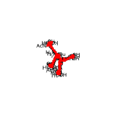 CC(=O)N[C@H]1[C@H](OCCCCCN(N)/C=C(\N)CN(C/C(=C/NCCCCCO[C@@H]2O[C@H](CO)[C@H](O)[C@H](O)[C@H]2C)N=N)C(CCCCN(Cc2cn(CCCCCO[C@@H]3O[C@H](CO)[C@H](O)[C@H](O)[C@H]3NC(C)=O)nn2)Cc2cn(CCCCCO[C@@H]3O[C@H](CO)[C@H](O)[C@H](O)[C@H]3NC(C)=O)nn2)C(=O)C(C)(C)C)O[C@H](CO)[C@H](O)[C@@H]1O